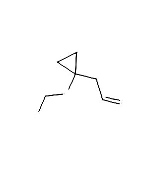 CCOC1(CC=O)CC1